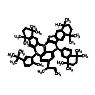 CCC(C)c1cc2c3c(c1)N(c1ccc4c(c1)C(C)(C)CCC4(C)C)c1c(sc4cc5c(cc14)C(C)(C)CCC5(C)C)B3c1cc3c(cc1N2c1cc(C(C)(C)C)ccc1C)C(C)(C)CCC3(C)C